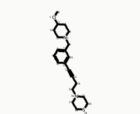 COC1CCN(Cc2cccc(C#CCCN3CCSCC3)c2)CC1